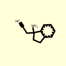 C#CCC1(N)CCc2ccccc21